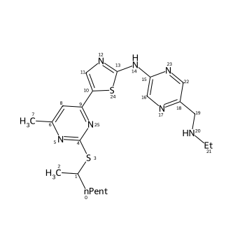 CCCCCC(C)Sc1nc(C)cc(-c2cnc(Nc3cnc(CNCC)cn3)s2)n1